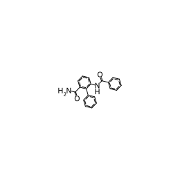 NC(=O)c1cccc(NC(=O)c2ccccc2)c1-c1ccccc1